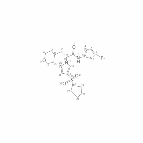 O=C(Nc1ncc(F)s1)[C@@H](CC1CCOCC1)n1cc(S(=O)(=O)C2CCCC2)cn1